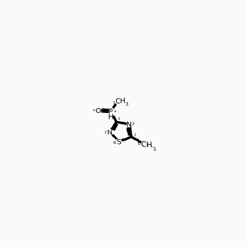 Cc1nc([PH](C)=O)ns1